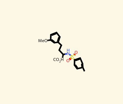 COc1cccc(CCC(NS(=O)(=O)c2ccc(C)cc2)C(=O)O)c1